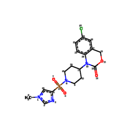 Cn1cnc(S(=O)(=O)N2CCC(N3C(=O)OCc4cc(Cl)ccc43)CC2)c1